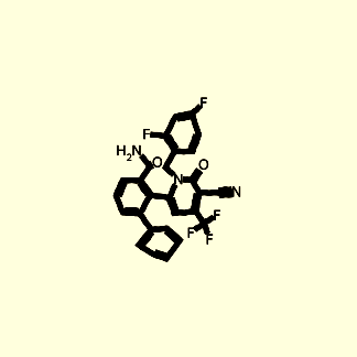 N#Cc1c(C(F)(F)F)cc(-c2c(C(N)=O)cccc2-c2ccccc2)n(Cc2ccc(F)cc2F)c1=O